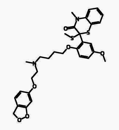 COc1ccc(OCCCCN(C)CCOc2ccc3c(c2)OOC3)c(C2(SC)Sc3ccccc3N(C)C2=O)c1